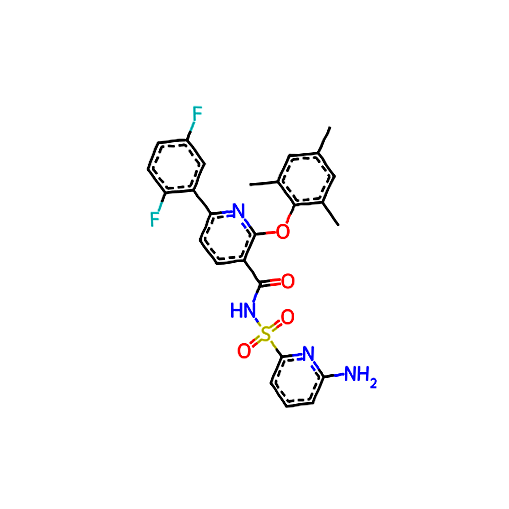 Cc1cc(C)c(Oc2nc(-c3cc(F)ccc3F)ccc2C(=O)NS(=O)(=O)c2cccc(N)n2)c(C)c1